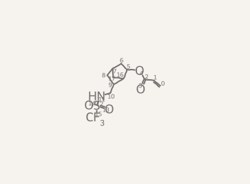 C=CC(=O)OC1CC2CC(CNS(=O)(=O)C(F)(F)F)C1C2